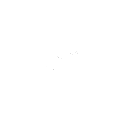 CC(C)Oc1ccc(-c2n[nH]c3ccc(N4CC[C@]5(CCN(CC(=O)N6CC=C(c7ccc(-c8nn(C)c(=O)o8)cc7)CC6)C5)C4=O)cc23)cn1